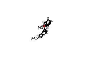 SC1CC2C3CC(S[C@@H]4CC5CCC46CC(S)CC56)C(C3)C2C1